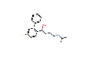 CC(C)NCCCC(O)c1ccc(F)cc1-c1ccccc1